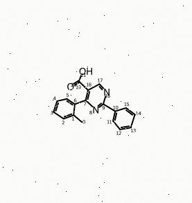 Cc1ccccc1-c1nc(-c2ccccc2)ncc1C(=O)O